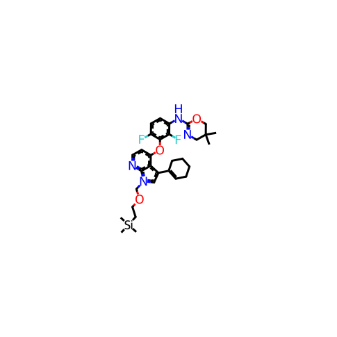 CC1(C)CN=C(Nc2ccc(F)c(Oc3ccnc4c3c(C3=CCCCC3)cn4COCC[Si](C)(C)C)c2F)OC1